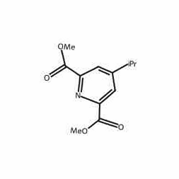 COC(=O)c1cc(C(C)C)cc(C(=O)OC)n1